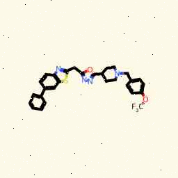 FC(F)(F)Oc1ccc(CN2CCC(c3nnc(Cc4nc5ccc(-c6ccccc6)cc5s4)o3)CC2)cc1